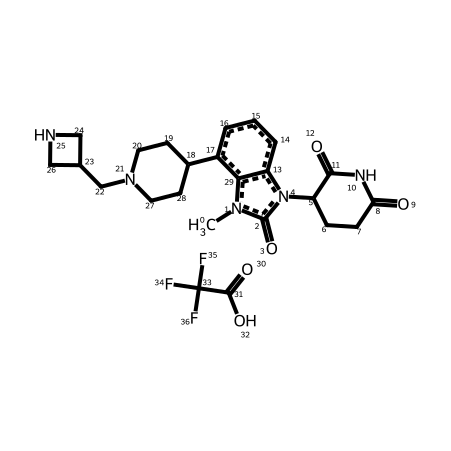 Cn1c(=O)n(C2CCC(=O)NC2=O)c2cccc(C3CCN(CC4CNC4)CC3)c21.O=C(O)C(F)(F)F